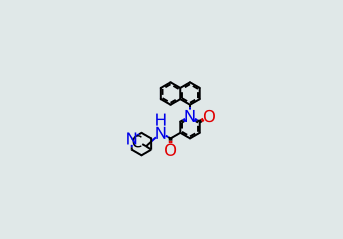 O=C(NC1CN2CCC1CC2)c1ccc(=O)n(-c2cccc3ccccc23)c1